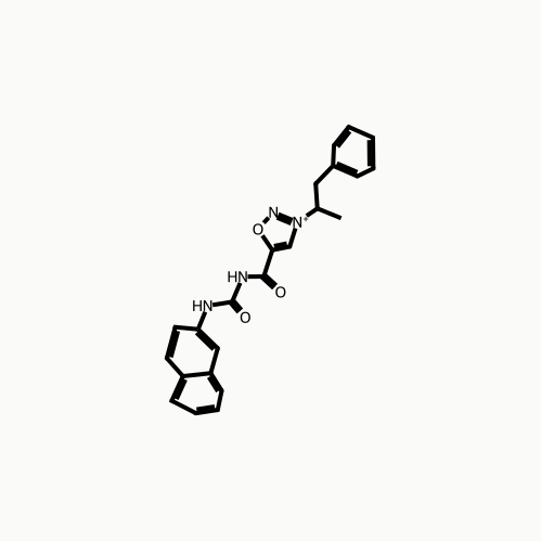 CC(Cc1ccccc1)[n+]1cc(C(=O)NC(=O)Nc2ccc3ccccc3c2)on1